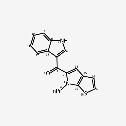 CCCn1c(C(=O)c2c[nH]c3ccccc23)cc2ccsc21